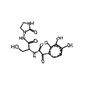 O=C(NC(CO)C(=O)NN1CCNC1=O)C(=O)c1ccc(O)c(O)c1Cl